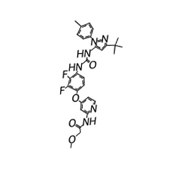 COCC(=O)Nc1cc(Oc2ccc(NC(=O)Nc3cc(C(C)(C)C)nn3-c3ccc(C)cc3)c(F)c2F)ccn1